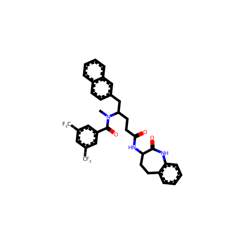 CN(C(=O)c1cc(C(F)(F)F)cc(C(F)(F)F)c1)C(CCC(=O)NC1CCc2ccccc2NC1=O)Cc1ccc2ccccc2c1